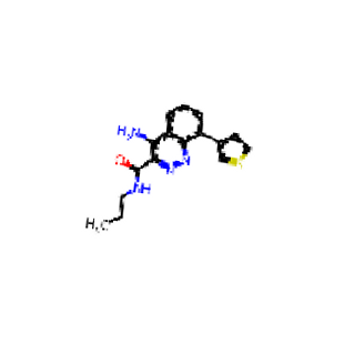 CCCNC(=O)c1nnc2c(-c3ccsc3)cccc2c1N